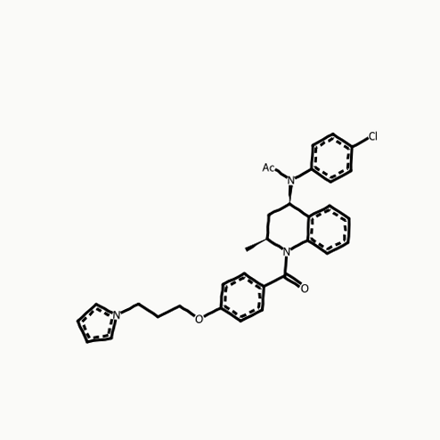 CC(=O)N(c1ccc(Cl)cc1)[C@@H]1C[C@H](C)N(C(=O)c2ccc(OCCCn3cccc3)cc2)c2ccccc21